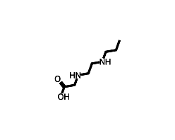 CCCNCCNCC(=O)O